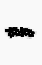 Cc1n[nH]c2nccc(-c3ccc(NC(=O)NCc4ccccc4Cl)cc3)c12